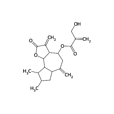 C=C(CO)C(=O)OC1CC(=C)C2CC(C)C(C)C2C2OC(=O)C(=C)C12